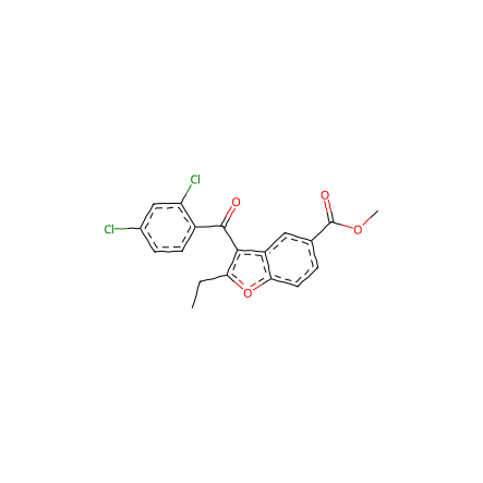 CCc1oc2ccc(C(=O)OC)cc2c1C(=O)c1ccc(Cl)cc1Cl